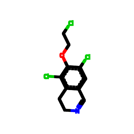 ClCCOc1c(Cl)cc2c(c1Cl)CCN=C2